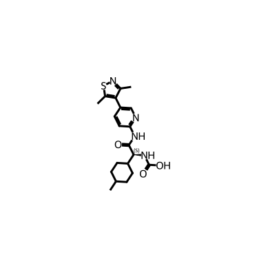 Cc1nsc(C)c1-c1ccc(NC(=O)[C@@H](NC(=O)O)C2CCC(C)CC2)nc1